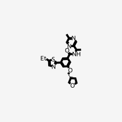 CCc1cnc(-c2cc(OC[C@@H]3CCOC3)cc(C(=O)NC(C)c3cnc(C)cn3)c2)s1